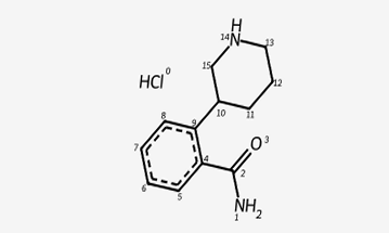 Cl.NC(=O)c1ccccc1C1CCCNC1